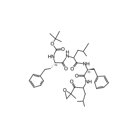 CC(C)CC(NC(=O)[C@H](CCc1ccccc1)NC(=O)OC(C)(C)C)C(=O)N[C@@H](Cc1ccccc1)C(=O)NC(CC(C)C)C(=O)C1(C)CO1